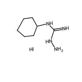 I.N=C(NN)NC1CCCCC1